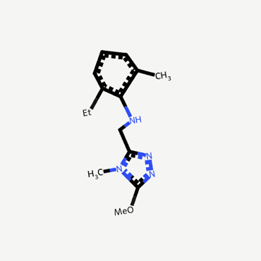 CCc1cccc(C)c1NCc1nnc(OC)n1C